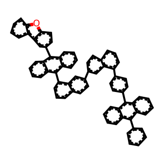 c1ccc(-c2c3ccccc3c(-c3ccc(-c4cccc5ccc(-c6ccc7cccc(-c8c9ccccc9c(-c9ccc%10oc%11ccccc%11c%10c9)c9ccccc89)c7c6)cc45)cc3)c3ccccc23)cc1